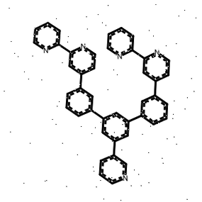 c1ccc(-c2cc(-c3cccc(-c4cc(-c5cccnc5)cc(-c5cccc(-c6ccnc(-c7ccccn7)c6)c5)c4)c3)ccn2)nc1